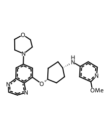 COc1cc(N[C@H]2CC[C@@H](Oc3cc(N4CCOCC4)cc4nccnc34)CC2)ccn1